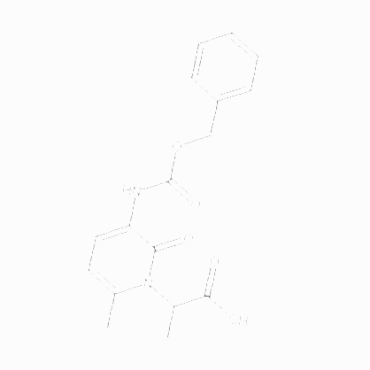 Cc1ccc(NC(=O)OCc2ccccc2)c(=O)n1C(C)C(=O)O